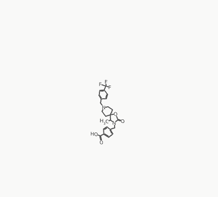 CC1N(Cc2ccc(C(=O)O)cc2)C(=O)OC12CCN(Cc1ccc(C(F)(F)F)cc1)CC2